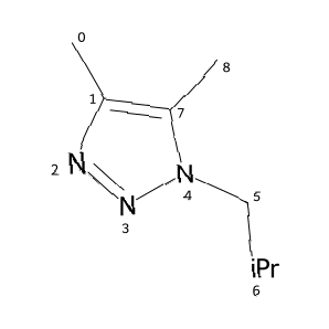 Cc1nnn(CC(C)C)c1C